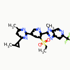 CCS(=O)(=O)c1cc(-c2nc(C)cc(C3CC3C)n2)cnc1-c1nc2cc(C(F)(F)F)ncc2n1C